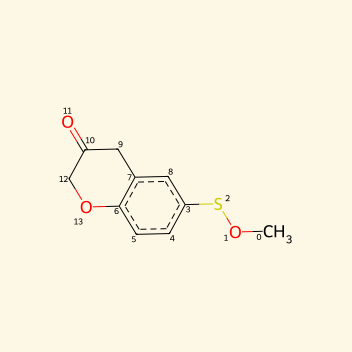 COSc1ccc2c(c1)CC(=O)CO2